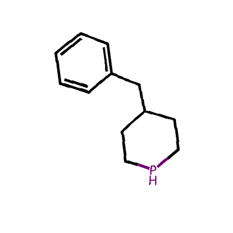 c1ccc(CC2CCPCC2)cc1